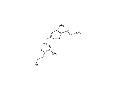 CCOc1ccc(Cc2ccc(OCC)c(N)c2)cc1N